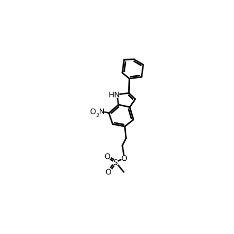 CS(=O)(=O)OCCc1cc([N+](=O)[O-])c2[nH]c(-c3ccccc3)cc2c1